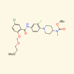 COCCOCOc1ccc(Cl)cc1C(=O)Nc1ccc(N2CCC(N(C)C(=O)OC(C)(C)C)CC2)c(F)c1